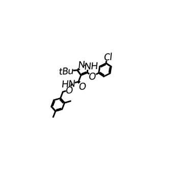 Cc1ccc(CONC(=O)c2c(C(C)(C)C)n[nH]c2Oc2cccc(Cl)c2)c(C)c1